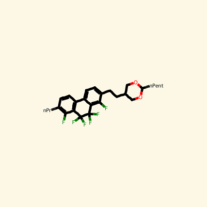 CCCCCC1OCC(CCc2ccc3c(c2F)C(F)(F)C(F)(F)c2c-3ccc(CCC)c2F)CO1